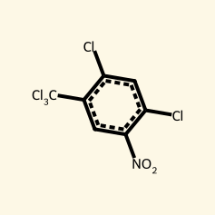 O=[N+]([O-])c1cc(C(Cl)(Cl)Cl)c(Cl)cc1Cl